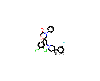 CC(=O)NC1(c2cccc(F)c2)CCN(CCC2(c3ccc(Cl)c(Cl)c3)CN(c3ccccc3)C(=O)CO2)CC1